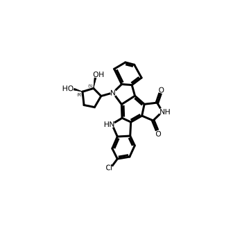 O=C1NC(=O)c2c1c1c3ccc(Cl)cc3[nH]c1c1c2c2ccccc2n1C1CC[C@@H](O)[C@H]1O